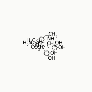 CC(C)(S)[C@@H](N)C(=O)O.CC(N)Cc1ccccc1.C[C@H](Cc1ccc(O)c(O)c1)[C@@H](C)Cc1ccc(O)c(O)c1